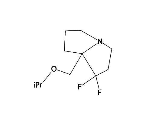 CC(C)OCC12CCCN1CCC2(F)F